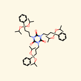 CC(C)O[Si](CCCn1c(=O)n(CCC[Si](OC(C)C)(OC(C)C)c2ccccc2)c(=O)n(CCC[Si](OC(C)C)(OC(C)C)c2ccccc2)c1=O)(OC(C)C)c1ccccc1